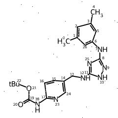 Cc1cc(C)cc(Nc2n[nH]c(NCc3ccc(NC(=O)OC(C)(C)C)nc3)n2)c1